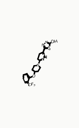 Oc1nnc(-c2ccc(N3CCC(Oc4ccccc4C(F)(F)F)CC3)nn2)s1